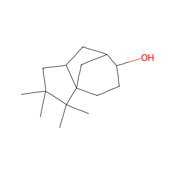 CC1(C)CC2CC3CC2(CCC3O)C1(C)C